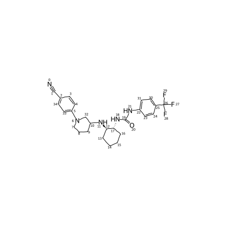 N#Cc1ccc(N2CCCC(N[C@@H]3CCCC[C@H]3NC(=O)Nc3ccc(C(F)(F)F)cc3)C2)cc1